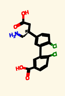 NC[C@H](CC(=O)O)c1ccc(Cl)c(-c2cc(C(=O)O)ccc2Cl)c1